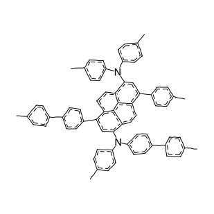 Cc1ccc(-c2ccc(-c3cc(N(c4ccc(C)cc4)c4ccc(-c5ccc(C)cc5)cc4)c4ccc5c(-c6ccc(C)cc6)cc(N(c6ccc(C)cc6)c6ccc(C)cc6)c6ccc3c4c56)cc2)cc1